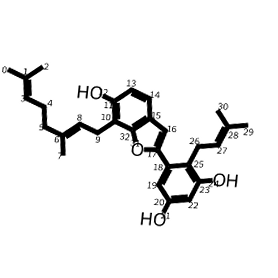 CC(C)=CCC/C(C)=C/Cc1c(O)ccc2cc(-c3cc(O)cc(O)c3CC=C(C)C)oc12